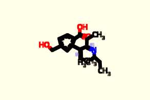 C/C=C(\C(=N/C(C)CC)C(C)=O)c1cc(CO)ccc1C(=O)O